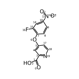 O=C(O)c1cc(Oc2ccc([N+](=O)[O-])cc2F)ccn1